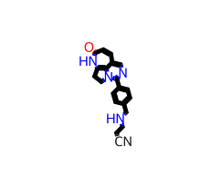 N#CCCNCc1ccc(C2=NC=C3C=CC(=O)NC4=C3N2CC4)cc1